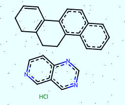 C1=CC2=C(CC1)CCc1c2ccc2ccccc12.Cl.c1cc2ncncc2cn1